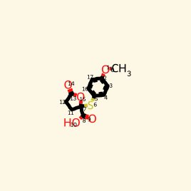 COc1ccc(SC2(C(=O)O)CCC(=O)O2)cc1